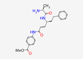 COC(=O)c1ccc(NC(=O)/C=C/[C@H](CCc2ccccc2)NC(=O)[C@H](C)N)cc1